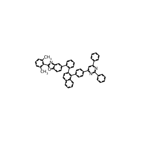 Cc1cccc(C)c1-c1nc2cc(-c3ccccc3-c3ccc4ccccc4c3-c3ccc(-c4cc(-c5ccccc5)nc(-c5ccccc5)n4)cc3)ccc2o1